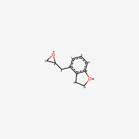 c1cc(CC2CO2)c2c(c1)OCC2